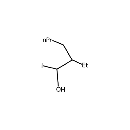 CCCCC(CC)C(O)I